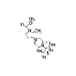 [2H]C([2H])([2H])C(N1CCN([C@H]2CCN(C(=O)OC(C)(C)C)[C@H]2C)CC1)C([2H])([2H])[2H]